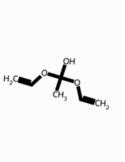 C=COC(C)(O)OC=C